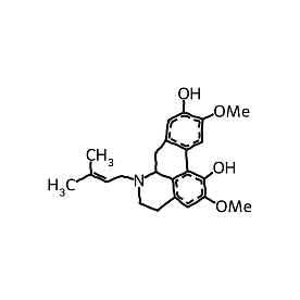 COc1cc2c(cc1O)CC1c3c(cc(OC)c(O)c3-2)CCN1CC=C(C)C